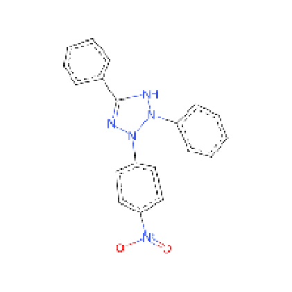 O=[N+]([O-])c1ccc(N2N=C(c3ccccc3)NN2c2ccccc2)cc1